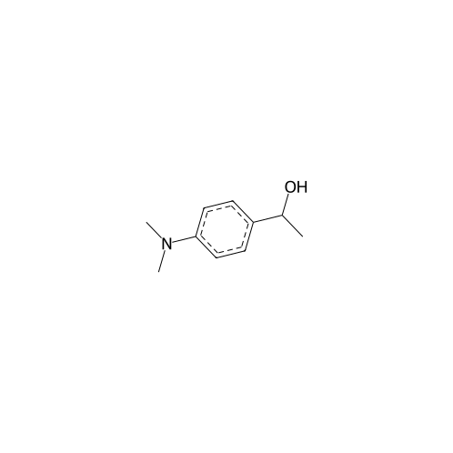 CC(O)c1ccc(N(C)C)cc1